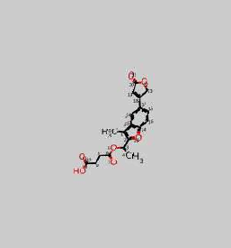 Cc1c(C(C)OC(=O)CCC(=O)O)oc2ccc(C3=CC(=O)OC3)cc12